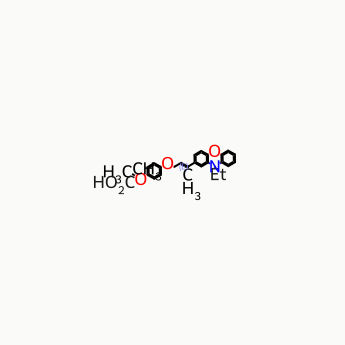 CCN1c2ccccc2Oc2ccc(/C(C)=C/COc3ccc(OC(C)(C)C(=O)O)cc3)cc21